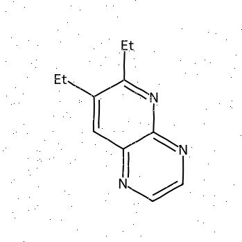 CCc1cc2nccnc2nc1CC